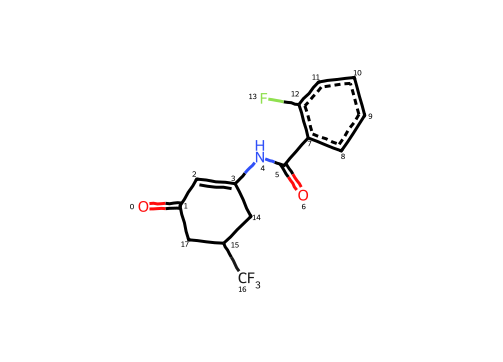 O=C1C=C(NC(=O)c2ccccc2F)CC(C(F)(F)F)C1